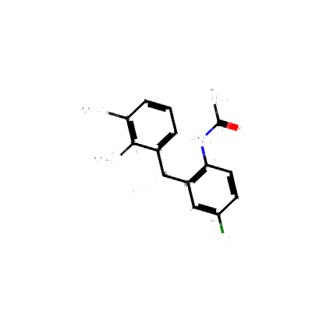 COc1cccc([C@@H](O)c2cc(Cl)ccc2NC(=O)C(C)(C)C)c1OC